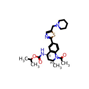 CC(=O)N1c2ccc(-c3ncc(CN4CCCCC4)s3)cc2[C@@H](NC(=O)OC(C)C)C[C@H]1C